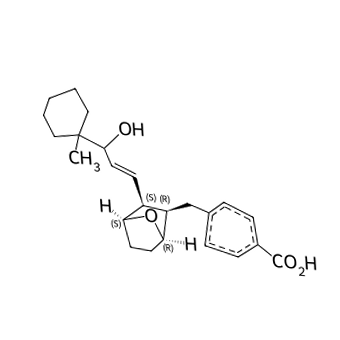 CC1(C(O)C=C[C@H]2[C@@H](Cc3ccc(C(=O)O)cc3)[C@H]3CC[C@@H]2O3)CCCCC1